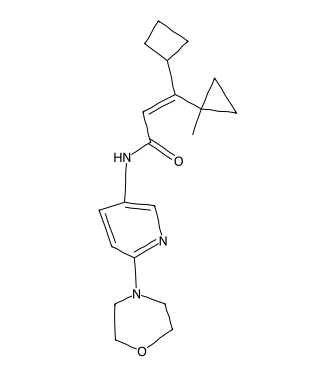 CC1(/C(=C\C(=O)Nc2ccc(N3CCOCC3)nc2)C2CCC2)CC1